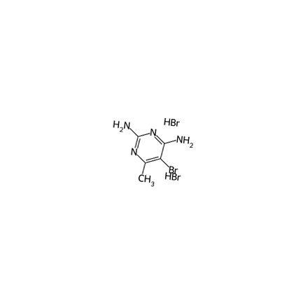 Br.Br.Cc1nc(N)nc(N)c1Br